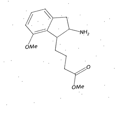 COC(=O)CCCC1c2c(cccc2OC)CC1N